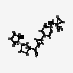 O=C(N1CC(c2ccc(NC3(C(F)(F)F)CC3)nc2)C1)N1CC[C@H](c2ncn[nH]2)C1